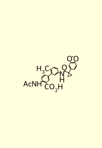 CC(=O)Nc1ccc(-c2cc(NC(=O)C3(c4ccc5c(c4)OCO5)CC3)ccc2C)cc1C(=O)O